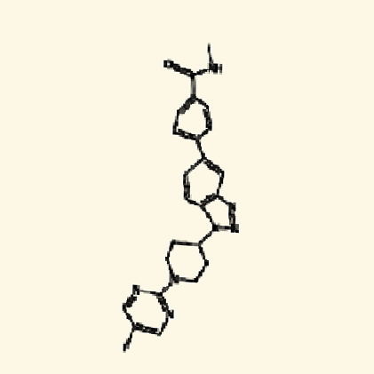 CNC(=O)c1ccc(-c2ccc3c(c2)nnn3C2CCN(c3ncc(F)cn3)CC2)cc1